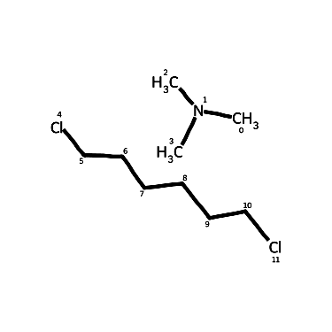 CN(C)C.ClCCCCCCCl